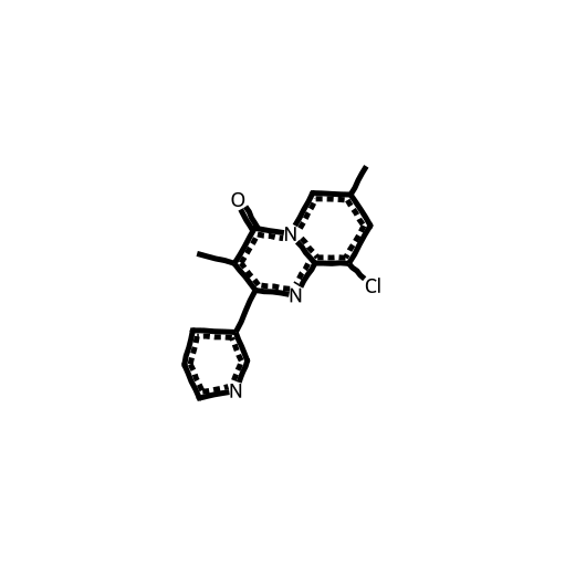 Cc1cc(Cl)c2nc(-c3cccnc3)c(C)c(=O)n2c1